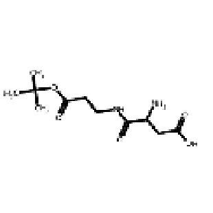 CC(C)(C)OC(=O)CCNC(=O)C(N)CC(=O)O